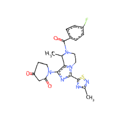 Cc1nsc(-c2nc(N3CCC(=O)CC3=O)c3n2CCN(C(=O)c2ccc(F)cc2)C3C)n1